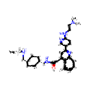 CN(C)CCNc1ccc(-c2cc(C(=O)NC[C@H]3CC[C@H](CNC(=O)O)CC3)c3ccccc3n2)cn1